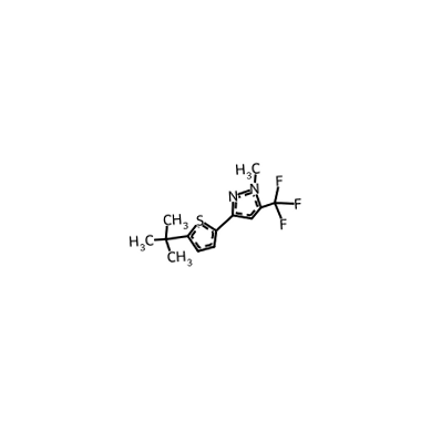 Cn1nc(-c2ccc(C(C)(C)C)s2)cc1C(F)(F)F